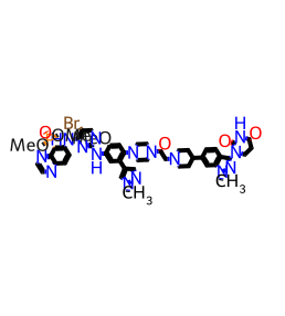 COc1cc(N2CCN(C(=O)CN3CCC(c4ccc5c(N6CCC(=O)NC6=O)nn(C)c5c4)CC3)CC2)c(-c2cnn(C)c2)cc1Nc1ncc(Br)c(Nc2ccc3nccnc3c2P(=O)(OC)OC)n1